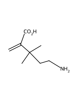 C=C(C(=O)O)C(C)(C)CCN